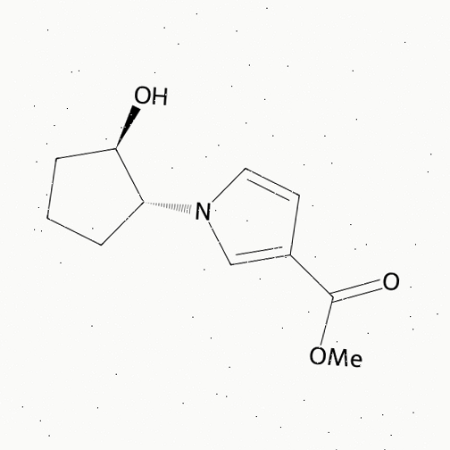 COC(=O)c1ccn([C@@H]2CCC[C@H]2O)c1